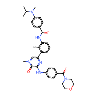 Cc1c(NC(=O)c2ccc(N(C)C(C)C)cc2)cccc1-c1cn(C)c(=O)c(Nc2ccc(C(=O)N3CCOCC3)cc2)n1